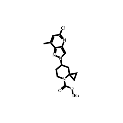 Cc1cc(Cl)nc2cn(C3CCN(C(=O)OC(C)(C)C)C4(CC4)C3)nc12